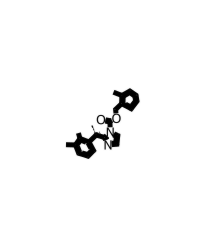 Cc1ccccc1COC(=O)n1ccnc1[C@@H](C)c1cccc(C)c1C